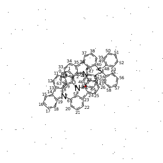 c1ccc(-n2c3c(-n4c5ccccc5c5ccccc54)cccc3c3cccc(-n4c5ccccc5c5cccc([Si](c6ccccc6)(c6ccccc6)c6ccccc6)c54)c32)cc1